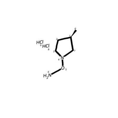 C[C@@H]1CCN(ON)C1.Cl.Cl